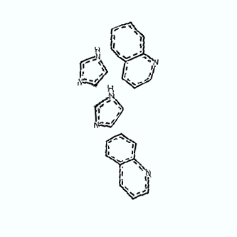 c1c[nH]cn1.c1c[nH]cn1.c1ccc2ncccc2c1.c1ccc2ncccc2c1